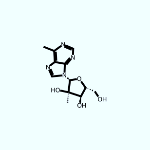 Cc1ncnc2c1ncn2[C@@H]1O[C@H](CO)[C@@H](O)[C@@]1(C)O